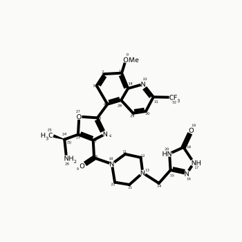 COc1ccc(-c2nc(C(=O)N3CCN(Cc4n[nH]c(=O)[nH]4)CC3)c([C@H](C)N)o2)c2ccc(C(F)(F)F)nc12